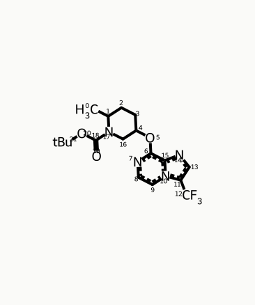 CC1CCC(Oc2nccn3c(C(F)(F)F)cnc23)CN1C(=O)OC(C)(C)C